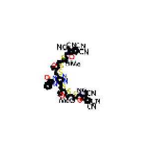 COc1cc(/C=C2\C(=O)c3cc(C#N)c(C#N)cc3C2=C(C#N)C#N)sc1-c1cc2c(s1)-c1sc(-c3c4nsnc4c(-c4cc5c(s4)-c4sc(-c6sc(/C=C7\C(=O)c8cc(C#N)c(C#N)cc8C7=C(C#N)C#N)cc6OC)cc4OC5(C)C)c4nc5c(nc34)C(=O)c3ccccc3-5)cc1C(C)(C)O2